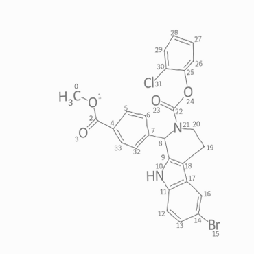 COC(=O)c1ccc(C2c3[nH]c4ccc(Br)cc4c3CCN2C(=O)Oc2ccccc2Cl)cc1